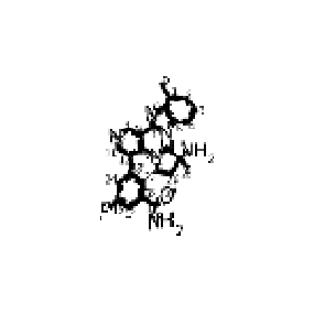 Cc1cccc2[nH]c(-c3cncc(-c4cc(F)cc(C(N)=O)c4)c3N3CCC(C)(N)C3)nc12